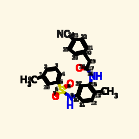 Cc1cccc(S(=O)(=O)Nc2ccc(C)c(NC(=O)Cc3ccc(C#N)cc3)c2)c1